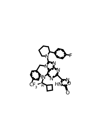 C[C@@H](Nc1nc(-c2noc(=O)[nH]2)nc2nc(N3CCCCC3c3ccc(F)cc3)n(Cc3ccc(C(F)(F)F)cc3)c12)C1CCC1